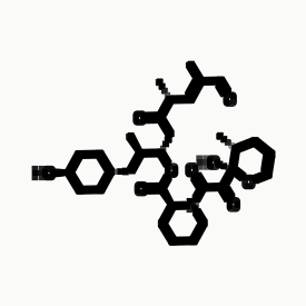 C/C(C=O)=C\[C@@H](C)C(=O)C[C@H](OC(=O)[C@@H]1CCCCN1C(=O)C(=O)[C@]1(O)OC=CC[C@H]1C)[C@H](C)C[C@H]1CC[C@H](O)CC1